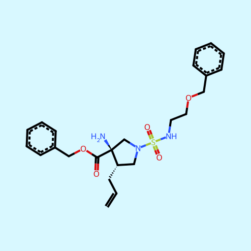 C=CC[C@H]1CN(S(=O)(=O)NCCOCc2ccccc2)C[C@@]1(N)C(=O)OCc1ccccc1